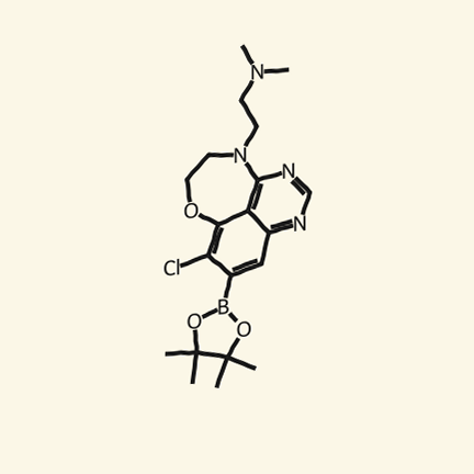 CN(C)CCN1CCOc2c(Cl)c(B3OC(C)(C)C(C)(C)O3)cc3ncnc1c23